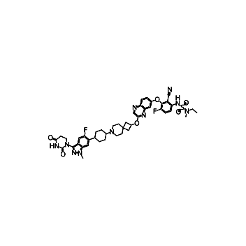 CCN(C)S(=O)(=O)Nc1ccc(F)c(Oc2ccc3ncc(OC4CC5(CCN(C6CCC(c7cc8c(cc7F)c(N7CCC(=O)NC7=O)nn8C)CC6)CC5)C4)nc3c2)c1C#N